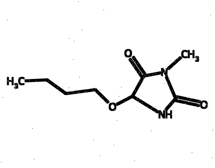 CCCCOC1NC(=O)N(C)C1=O